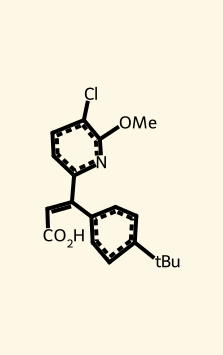 COc1nc(C(=CC(=O)O)c2ccc(C(C)(C)C)cc2)ccc1Cl